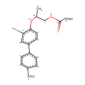 CCCCCCCCc1ccc(-c2ccc(OC(C)COC(=O)CCCCCCC)c(F)c2)cc1